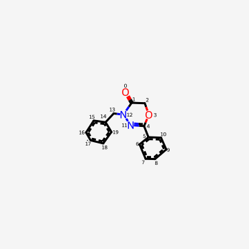 O=C1COC(c2ccccc2)=NN1Cc1cc[c]cc1